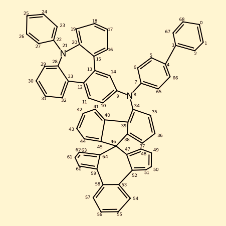 c1ccc(-c2ccc(N(c3ccc4c(c3)-c3ccccc3N(c3ccccc3)c3ccccc3-4)c3cccc4c3-c3ccccc3C43c4ccccc4-c4ccccc4-c4ccccc43)cc2)cc1